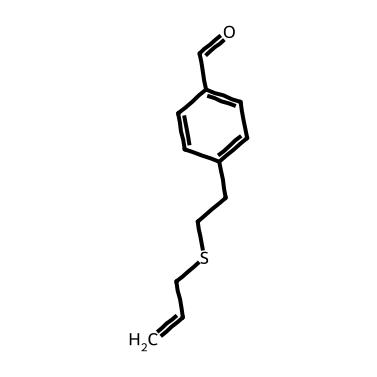 C=CCSCCc1ccc(C=O)cc1